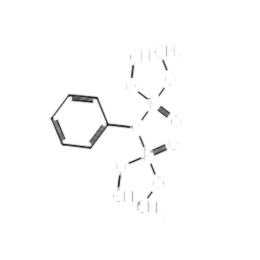 COP(=O)(OC)P(c1ccccc1)P(=O)(OC)OC